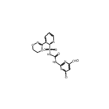 O=Cc1cc(Cl)nc(NC(=O)NS(=O)(=O)c2ncccc2C2=NOCCO2)n1